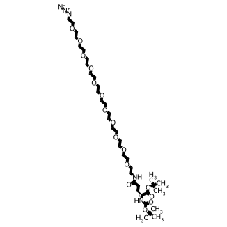 CC(C)(C)OC(=O)N[C@@H](CCC(=O)NCCOCCOCCOCCOCCOCCOCCOCCOCCOCCOCCOCCN=[N+]=[N-])C(=O)OC(C)(C)C